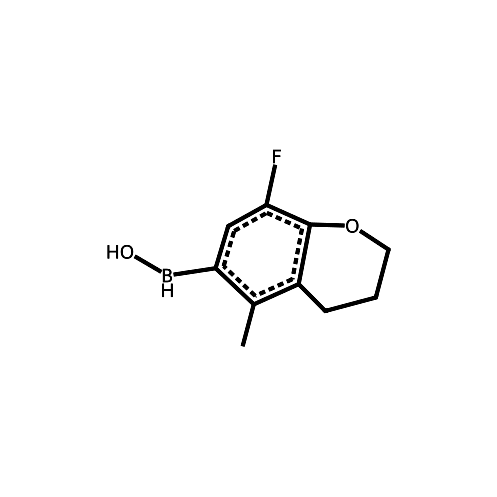 Cc1c(BO)cc(F)c2c1CCCO2